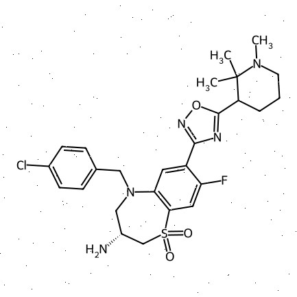 CN1CCCC(c2nc(-c3cc4c(cc3F)S(=O)(=O)C[C@H](N)CN4Cc3ccc(Cl)cc3)no2)C1(C)C